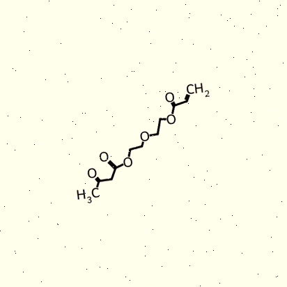 C=CC(=O)OCCOCCOC(=O)CC(C)=O